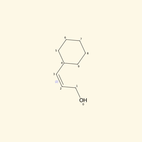 OC/C=C\C1CCCCC1